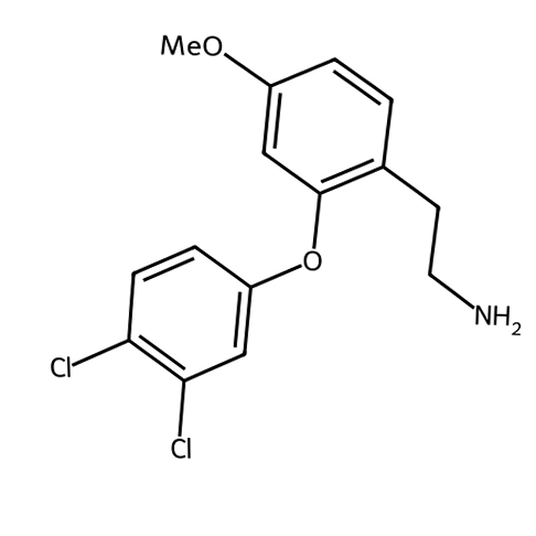 COc1ccc(CCN)c(Oc2ccc(Cl)c(Cl)c2)c1